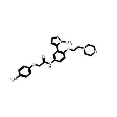 Cn1nccc1-c1cc(NC(=O)COc2ccc(N)cc2)ccc1OCCN1CCOCC1